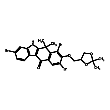 CC1(C)OCC(COc2c(Br)cc3c(c2Br)C(C)(C)c2[nH]c4cc(Br)ccc4c2C3=O)O1